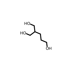 OCCCC(CO)CO